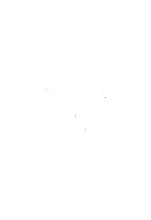 CC(C(=O)O)=C(C#N)c1ccc(O)cc1